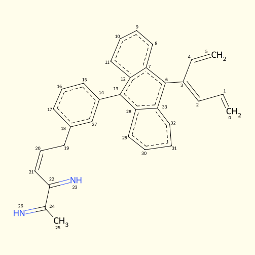 C=C/C=C(\C=C)c1c2ccccc2c(-c2cccc(C/C=C\C(=N)C(C)=N)c2)c2ccccc12